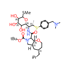 CSC1O[C@H]([C@H](NC(=O)C2[C@@H]3OCC[C@@H](CC(C)C)C[C@H]3CN2C(=O)OC(C)(C)C)[C@H](C)Sc2ccc(CN(C)C)cc2)C(O)[C@@H](O)[C@H]1O